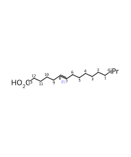 CC(C)CCCCCC/C=C/CCCCC(=O)O